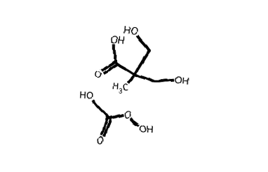 CC(CO)(CO)C(=O)O.O=C(O)OO